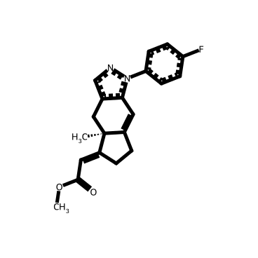 COC(=O)/C=C1\CCC2=Cc3c(cnn3-c3ccc(F)cc3)C[C@@]21C